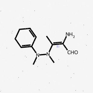 C/C(=C(\N)C=O)N(C)N(C)C1=CCCC=C1